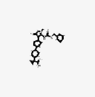 Cn1sc(=O)c(-c2ccc(-c3ccc(C4(C(=O)O)CC4)cc3)cc2)c1NC(=O)OCc1ccccc1